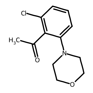 CC(=O)c1c(Cl)cccc1N1CCOCC1